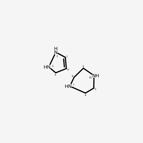 C1=CNNC1.C1CNCCN1